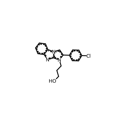 OCCCn1c(-c2ccc(Cl)cc2)cn2c3ccccc3nc12